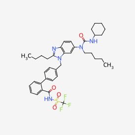 CCCCCN(C(=O)NC1CCCCC1)c1ccc2nc(CCCC)n(Cc3ccc(-c4ccccc4C(=O)NS(=O)(=O)C(F)(F)F)cc3)c2c1